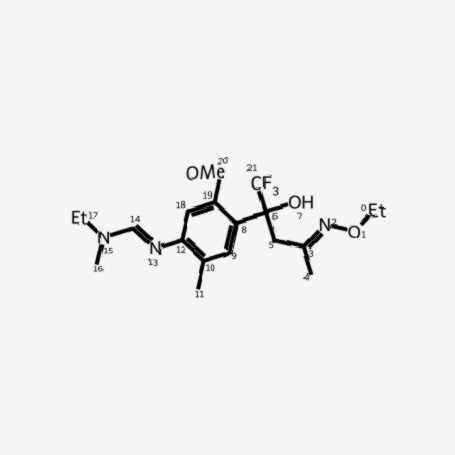 CCON=C(C)CC(O)(c1cc(C)c(N=CN(C)CC)cc1OC)C(F)(F)F